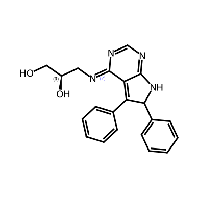 OC[C@H](O)C/N=C1\N=CN=C2NC(c3ccccc3)C(c3ccccc3)=C21